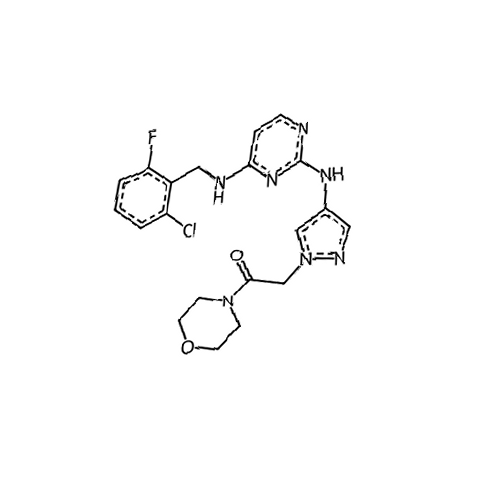 O=C(Cn1cc(Nc2nccc(NCc3c(F)cccc3Cl)n2)cn1)N1CCOCC1